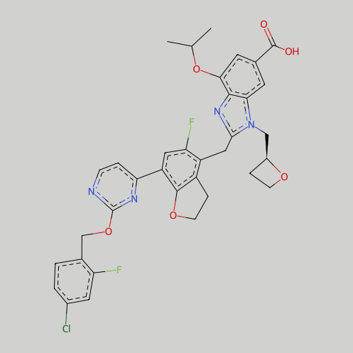 CC(C)Oc1cc(C(=O)O)cc2c1nc(Cc1c(F)cc(-c3ccnc(OCc4ccc(Cl)cc4F)n3)c3c1CCO3)n2C[C@@H]1CCO1